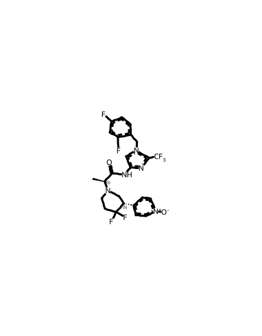 C[C@@H](C(=O)Nc1cn(Cc2ccc(F)cc2F)c(C(F)(F)F)n1)N1CCC(F)(F)[C@@H](c2cc[n+]([O-])cc2)C1